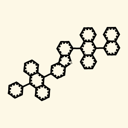 c1ccc(-c2c3ccccc3c(-c3ccc4sc5c(-c6c7ccccc7c(-c7cccc8ccccc78)c7ccccc67)cccc5c4c3)c3ccccc23)cc1